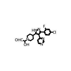 O=CC(O)N1CCC(c2[nH]nc(-c3ccc(Cl)cc3F)c2-c2ccncn2)CC1